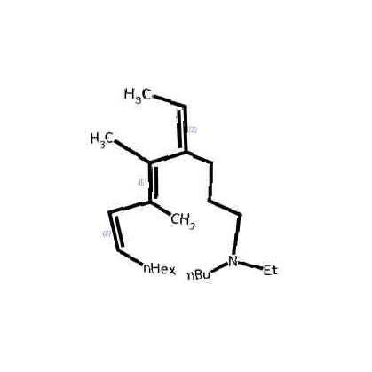 C\C=C(CCCN(CC)CCCC)/C(C)=C(C)/C=C\CCCCCC